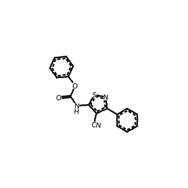 N#Cc1c(-c2ccccc2)nsc1NC(=O)Oc1ccccc1